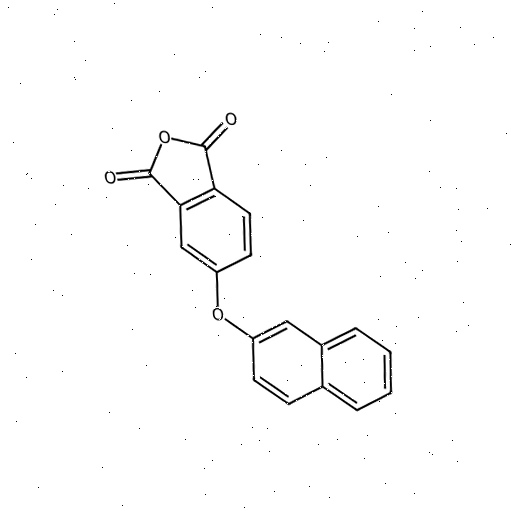 O=C1OC(=O)c2cc(Oc3ccc4ccccc4c3)ccc21